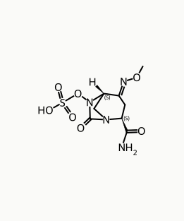 CON=C1C[C@@H](C(N)=O)N2C[C@@H]1N(OS(=O)(=O)O)C2=O